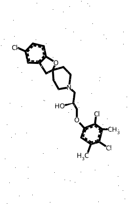 Cc1cc(OC[C@@H](O)CN2CCC3(CC2)Cc2cc(Cl)ccc2O3)c(Cl)c(C)c1Cl